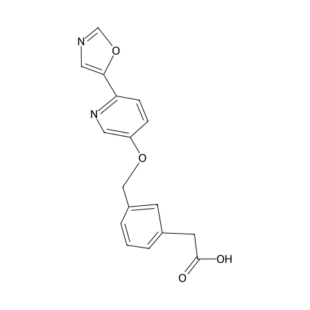 O=C(O)Cc1cccc(COc2ccc(-c3cnco3)nc2)c1